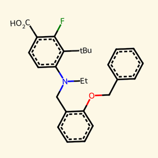 CCN(Cc1ccccc1OCc1ccccc1)c1ccc(C(=O)O)c(F)c1C(C)(C)C